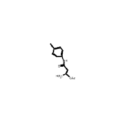 CC(=O)OC(CC(=O)Nc1ccc(C)cc1)C(=O)O